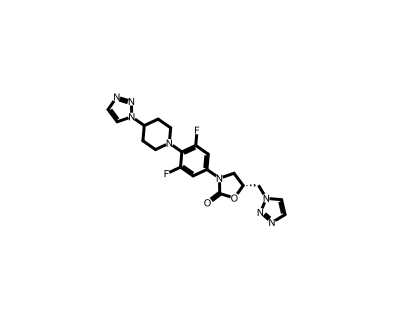 O=C1O[C@@H](Cn2ccnn2)CN1c1cc(F)c(N2CCC(n3ccnn3)CC2)c(F)c1